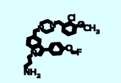 COc1cccc(CN2CCN(Cc3ccc4c(c3)c(-c3ccc(OCF)cc3)cn4CCCN)CC2)c1Cl